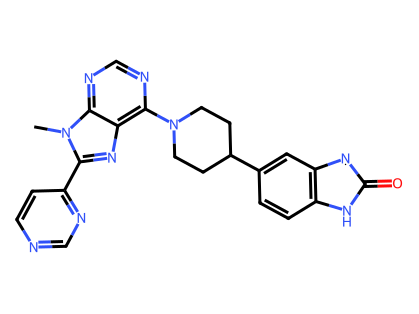 Cn1c(-c2ccncn2)nc2c(N3CCC(c4ccc5c(c4)[N]C(=O)N5)CC3)ncnc21